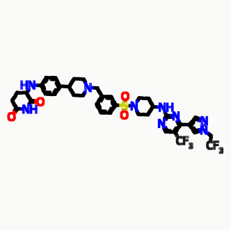 O=C1CCC(Nc2ccc(C3CCN(Cc4cccc(S(=O)(=O)N5CCC(Nc6ncc(C(F)(F)F)c(-c7cnn(CC(F)(F)F)c7)n6)CC5)c4)CC3)cc2)C(=O)N1